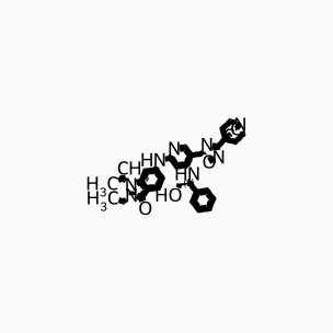 CCn1c(=O)c2ccc(Nc3cc(N[C@H](CO)c4ccccc4)c(-c4nc(C56CCN(CC5)CC6)no4)cn3)cc2n1C(C)C